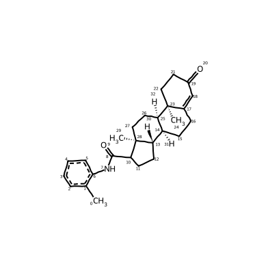 Cc1ccccc1NC(=O)C1CC[C@H]2[C@@H]3CCC4=CC(=O)CC[C@]4(C)[C@@H]3CC[C@]12C